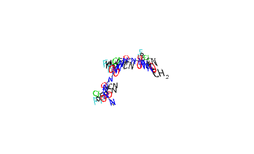 C=CC(=O)N1CCN(c2nc(=O)n3c4c(c(-c5ccc(F)cc5F)c(Cl)cc24)OCC3CCCN2CC(/C=C/C(=O)N3CC(C)N(c4nc(=O)n5c6c(c(-c7ccc(F)cc7F)c(Cl)cc46)OCC5CCCN4CC(/C=C/C(=O)N5CCN(c6c(C#N)c(=O)n7c8c(c(-c9ccc(F)cc9F)c(Cl)cc68)OCC7CCCN6CCC6)C[C@@H]5CC#N)C4)C[C@@H]3CC#N)C2)C[C@@H]1CC#N